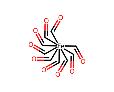 O=[CH][Fe]([CH]=O)([CH]=O)([CH]=O)([CH]=O)([CH]=O)([CH]=O)([CH]=O)[CH]=O